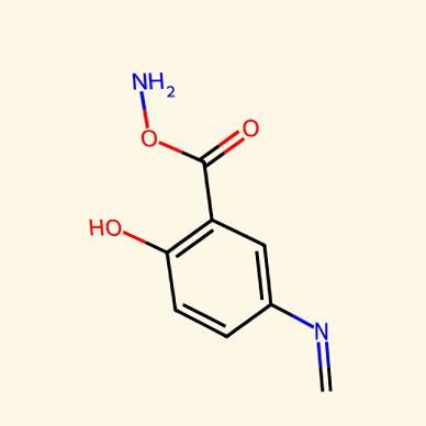 C=Nc1ccc(O)c(C(=O)ON)c1